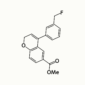 COC(=O)c1ccc2c(c1)C(c1cccc(CF)c1)=CCO2